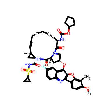 CCOc1ccc2c(oc3c(O[C@@H]4C[C@H]5C(=O)N[C@]6(C(=O)NS(=O)(=O)C7CC7)C[C@H]6/C=C\CCCCC[C@H](NC(=O)OC6CCCC6)C(=O)N5C4)c4cc(F)ccc4nc32)c1C